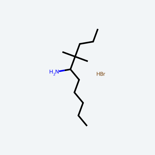 Br.CCCCCC(N)C(C)(C)CCC